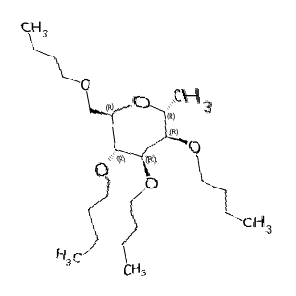 CCCCOC[C@H]1O[C@H](C)[C@@H](OCCCC)[C@@H](OCCCC)[C@@H]1OCCCC